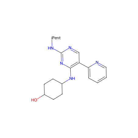 CCCC(C)Nc1ncc(-c2ccccn2)c(NC2CCC(O)CC2)n1